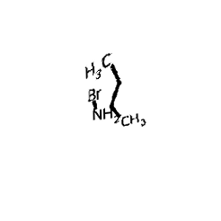 CCCC.NBr